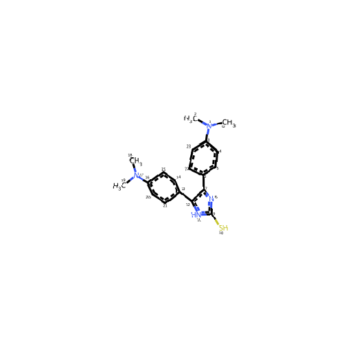 CN(C)c1ccc(-c2nc(S)[nH]c2-c2ccc(N(C)C)cc2)cc1